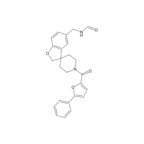 O=CNCc1ccc2c(c1)C1(CCN(C(=O)c3ccc(-c4ccccc4)o3)CC1)CO2